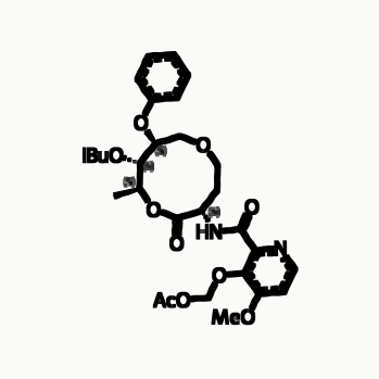 COc1ccnc(C(=O)N[C@H]2CCOC[C@H](Oc3ccccc3)[C@@H](OCC(C)C)[C@H](C)OC2=O)c1OCOC(C)=O